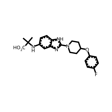 CC(C)(Nc1ccc2[nH]c(N3CCC(Oc4ccc(F)cc4)CC3)nc2c1)C(=O)O